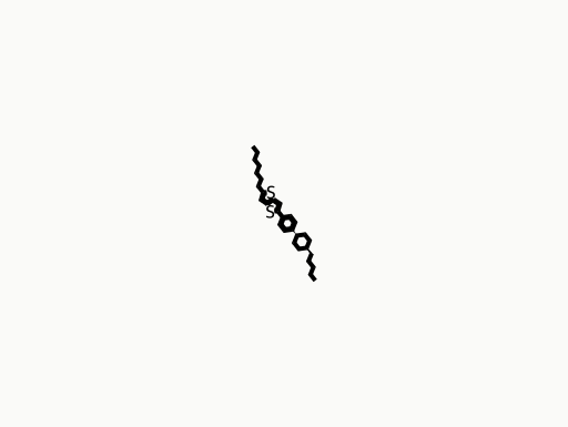 CCCCCCCc1cc2sc(-c3ccc([C@H]4CC[C@H](CCCCC)CC4)cc3)cc2s1